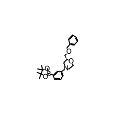 CC1(C)OB(c2cccc(N3CCO[C@H](COCc4ccccc4)C3)c2)OC1(C)C